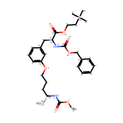 CC(C)(C)OC(=O)N[C@@H](CCCOc1cccc(C[C@H](NC(=O)OCc2ccccc2)C(=O)OCC[Si](C)(C)C)c1)C(=O)O